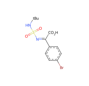 CC(C)(C)NS(=O)(=O)N=C(C(=O)O)c1ccc(Br)cc1